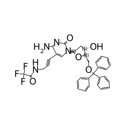 Nc1nc(=O)n([C@H]2C[C@H](O)[C@@H](COC(c3ccccc3)(c3ccccc3)c3ccccc3)O2)cc1C#CCNC(=O)C(F)(F)F